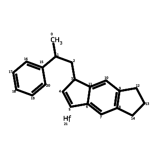 CC(C[C]1C=Cc2cc3c(cc21)CCC3)c1ccccc1.[Hf]